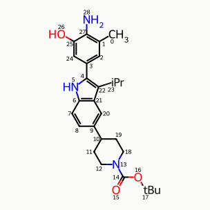 Cc1cc(-c2[nH]c3ccc(C4CCN(C(=O)OC(C)(C)C)CC4)cc3c2C(C)C)cc(O)c1N